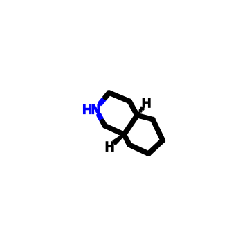 C1CC[C@@H]2CNCC[C@H]2C1